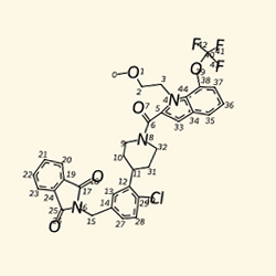 COCCn1c(C(=O)N2CCC(c3cc(CN4C(=O)c5ccccc5C4=O)ccc3Cl)CC2)cc2cccc(OC(F)(F)F)c21